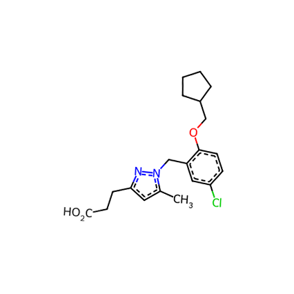 Cc1cc(CCC(=O)O)nn1Cc1cc(Cl)ccc1OCC1CCCC1